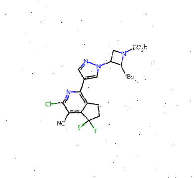 CC(C)(C)C1C(n2cc(-c3nc(Cl)c(C#N)c4c3CCC4(F)F)cn2)CN1C(=O)O